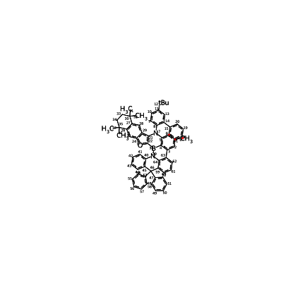 Cc1cc2c3c(c1)N(c1ccc(C(C)(C)C)cc1-c1ccccc1)c1c(oc4cc5c(cc14)C(C)(C)CCC5(C)C)B3N1c3ccccc3C(c3ccccc3)(c3ccccc3)c3cccc-2c31